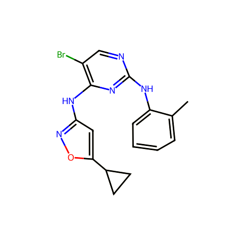 Cc1ccccc1Nc1ncc(Br)c(Nc2cc(C3CC3)on2)n1